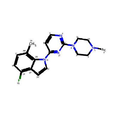 CC(=O)N1CCN(c2nccc(-n3ccc4c(F)ccc(C)c43)n2)CC1